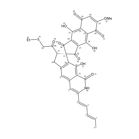 C/C=C/C=C/c1cc2cc3c(c(O)c2c(=O)[nH]1)[C@]1(C(=O)c2c(O)c4c(c(O)c2C1=O)C(=O)C(OC)=CC4=O)C(C(=O)CSCC)C3